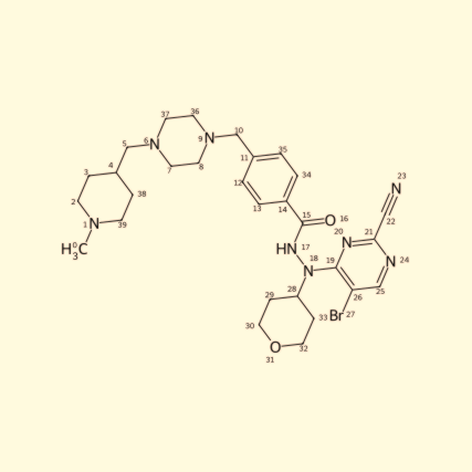 CN1CCC(CN2CCN(Cc3ccc(C(=O)NN(c4nc(C#N)ncc4Br)C4CCOCC4)cc3)CC2)CC1